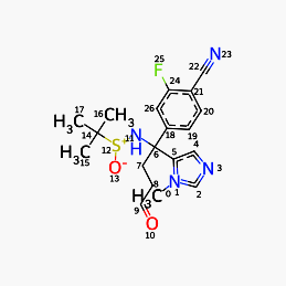 Cn1cncc1C(CCC=O)(N[S+]([O-])C(C)(C)C)c1ccc(C#N)c(F)c1